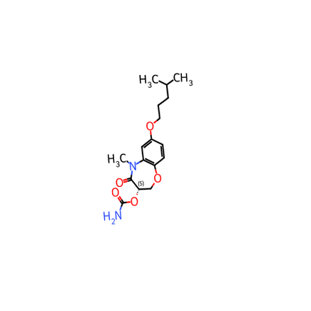 CC(C)CCCOc1ccc2c(c1)N(C)C(=O)[C@@H](OC(N)=O)CO2